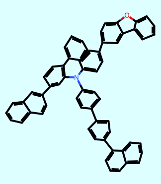 c1ccc(-c2ccc(-c3ccc4ccccc4c3)cc2N(c2ccc(-c3ccc(-c4cccc5ccccc45)cc3)cc2)c2ccc(-c3ccc4oc5ccccc5c4c3)cc2)cc1